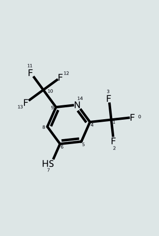 FC(F)(F)c1cc(S)cc(C(F)(F)F)n1